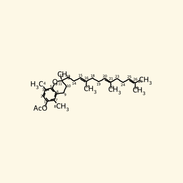 CC(=O)Oc1cc(C)c2c(c1C)CC[C@@](C)(CC/C=C(\C)CC/C=C(\C)CCC=C(C)C)O2